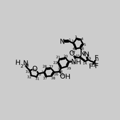 N#Cc1cccc(-n2nc(C(F)(F)F)cc2C(=O)Nc2cccc(C(O)c3ccc(C4CCC(CN)O4)cc3)c2)c1